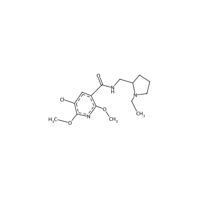 CCN1CCCC1CNC(=O)c1cc(Cl)c(OC)nc1OC